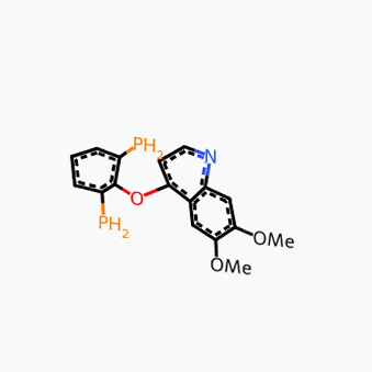 COc1cc2nccc(Oc3c(P)cccc3P)c2cc1OC